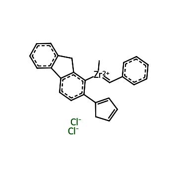 [CH3][Zr+2](=[CH]c1ccccc1)[c]1c(C2=CC=CC2)ccc2c1Cc1ccccc1-2.[Cl-].[Cl-]